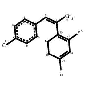 CC(=Cc1ccc(Cl)cc1)C1=C(F)C=C(F)[CH]C1